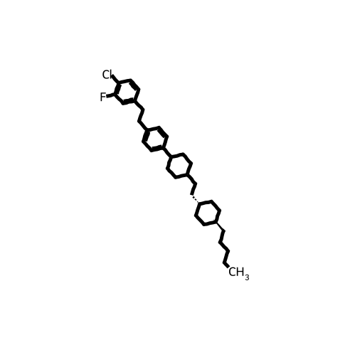 CCCCC[C@H]1CC[C@H](CCC2CCC(c3ccc(CCc4ccc(Cl)c(F)c4)cc3)CC2)CC1